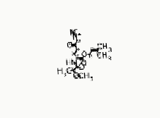 CO[C@@H](C)C(=O)N[C@@H](CCC(=O)C=[N+]=[N-])C(=O)OCCC(C)C